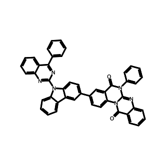 O=c1c2cc(-c3ccc4c(c3)c3ccccc3n4-c3nc(-c4ccccc4)c4ccccc4n3)ccc2n2c(=O)c3ccccc3nc2n1-c1ccccc1